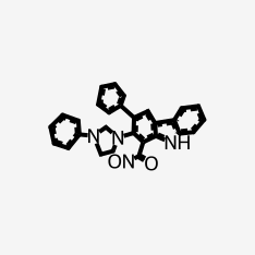 O=NC(=O)c1c(N2CCN(c3ccccc3)C2)c(-c2ccccc2)cc2c1[nH]c1ccccc12